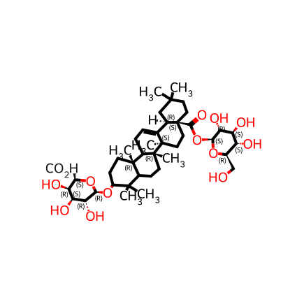 CC1(C)CC[C@]2(C(=O)O[C@@H]3O[C@H](CO)[C@@H](O)[C@H](O)[C@H]3O)CC[C@]3(C)C(=CCC4[C@@]5(C)CCC(O[C@@H]6O[C@H](C(=O)O)[C@H](O)[C@H](O)[C@H]6O)C(C)(C)C5CC[C@]43C)[C@H]2C1